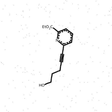 CCOC(=O)c1cccc(C#CCCCO)n1